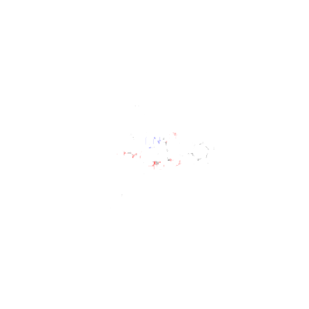 CCCCCCCCCCCC(C[C@@H]1OC(=O)[C@H]1CCCCCC)[C@@](CCc1ccccc1)(C(N)=O)C(=O)O